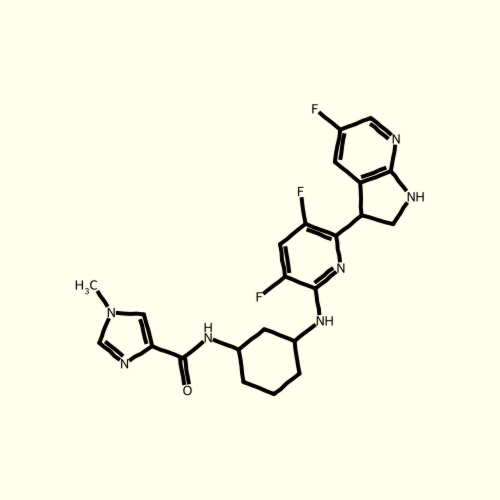 Cn1cnc(C(=O)NC2CCCC(Nc3nc(C4CNc5ncc(F)cc54)c(F)cc3F)C2)c1